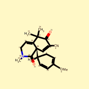 COC1=CCC(C)([C@]23C=C(C#N)C(=O)C(C)(C)C2=CCN(C)C3=O)C=C1